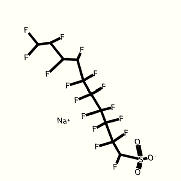 O=S(=O)([O-])C(F)C(F)(F)C(F)(F)C(F)(F)C(F)(F)C(F)(F)C(F)C(F)C(F)C(F)F.[Na+]